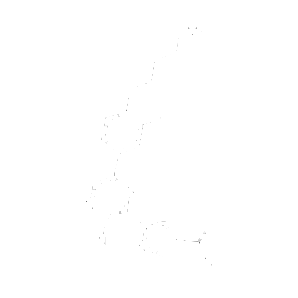 COCCCOc1c(C)cc(-c2cnc(N)c(-n3cc(C(N)=O)cn3)n2)cc1C